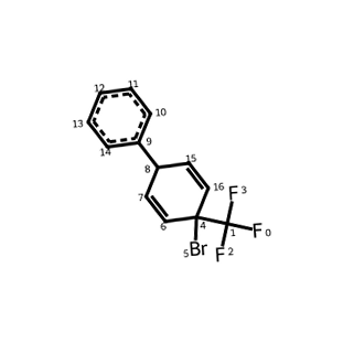 FC(F)(F)C1(Br)C=CC(c2ccccc2)C=C1